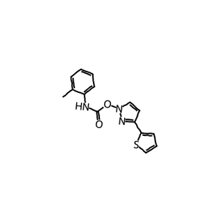 Cc1ccccc1NC(=O)On1ccc(-c2cccs2)n1